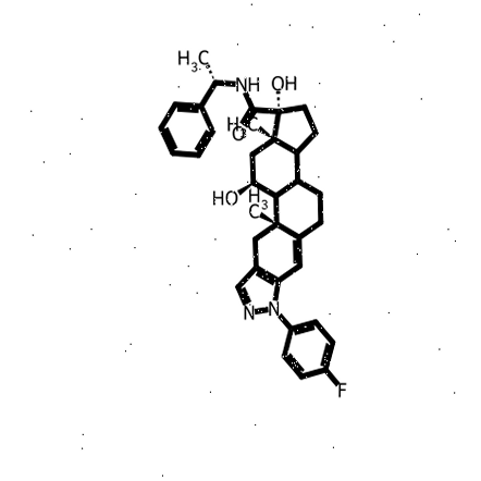 C[C@H](NC(=O)[C@@]1(O)CCC2C3CCC4=Cc5c(cnn5-c5ccc(F)cc5)C[C@]4(C)C3[C@@H](O)C[C@@]21C)c1ccccc1